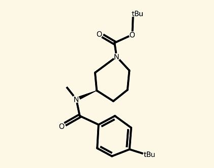 CN(C(=O)c1ccc(C(C)(C)C)cc1)[C@@H]1CCCN(C(=O)OC(C)(C)C)C1